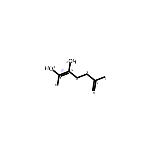 C=C(C)CC/C(O)=C(\C)O